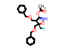 CC(=O)O[C@@H]1NO[C@](CF)(COCc2ccccc2)C1COCc1ccccc1